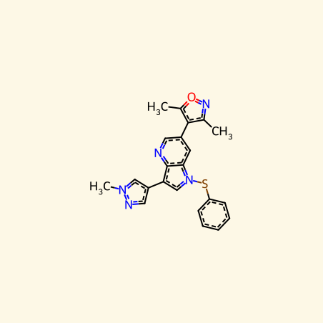 Cc1noc(C)c1-c1cnc2c(-c3cnn(C)c3)cn(Sc3ccccc3)c2c1